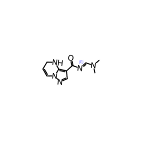 CN(C)/C=N/C(=O)c1cnn2c1NCC=C2